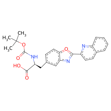 CC(C)(C)OC(=O)N[C@@H](Cc1ccc2oc(-c3ccc4ccccc4n3)nc2c1)C(=O)O